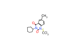 Cc1ccc2c(c1)c(=O)n(C1CCCCC1)c(=O)n2SC(Cl)(Cl)Cl